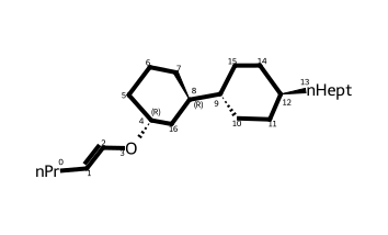 CCCC=CO[C@@H]1CCC[C@@H]([C@H]2CC[C@H](CCCCCCC)CC2)C1